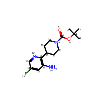 CC(C)(C)OC(=O)N1CCC(c2ncc(F)cc2N)CC1